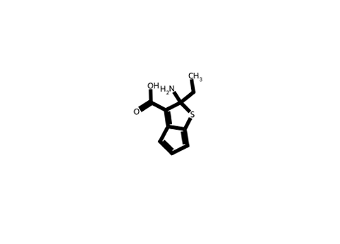 CCC1(N)SC2=CC=CC2=C1C(=O)O